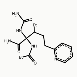 CCC(=O)NC(NC(N)=O)(C(N)=O)C(CC)CCc1ccccn1